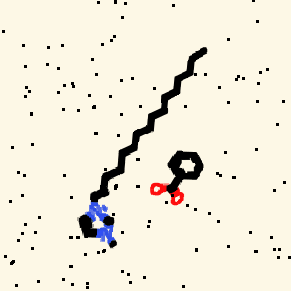 CCCCCCCCCCCCCCCC[n+]1ccn(C)c1.O=C([O-])c1ccccc1